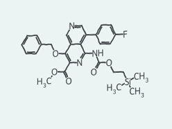 COC(=O)c1nc(NC(=O)OCC[Si](C)(C)C)c2c(-c3ccc(F)cc3)cncc2c1OCc1ccccc1